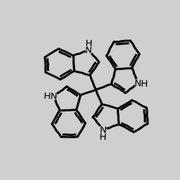 c1ccc2c(C(c3c[nH]c4ccccc34)(c3c[nH]c4ccccc34)c3c[nH]c4ccccc34)c[nH]c2c1